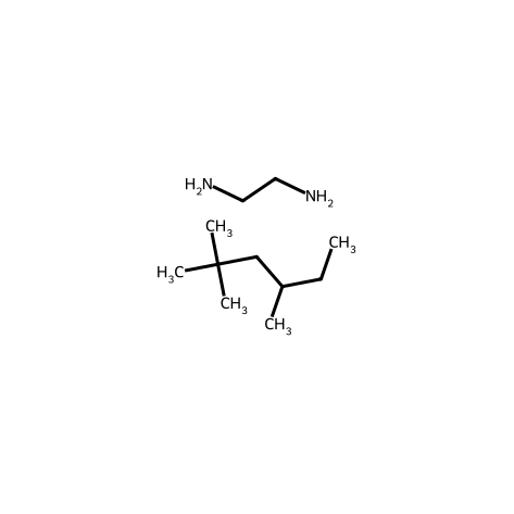 CCC(C)CC(C)(C)C.NCCN